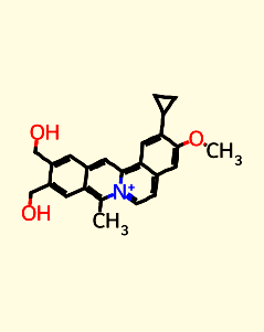 COc1cc2cc[n+]3c(C)c4cc(CO)c(CO)cc4cc3c2cc1C1CC1